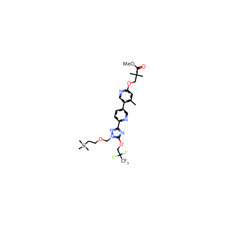 COC(=O)C(C)(C)COc1cc(C)c(-c2ccc(-c3nc(OCC(F)(F)C(F)(F)F)n(COCC[Si](C)(C)C)n3)nc2)cn1